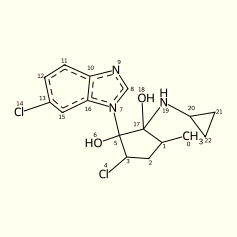 CC1CC(Cl)C(O)(n2cnc3ccc(Cl)cc32)C1(O)NC1CC1